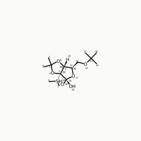 C[SiH](C)[C@]12OC(C)(C)O[C@@H]1[C@@H](COC(C)(C)C)O[C@]2(O)Cl